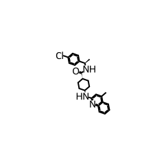 Cc1cc(N[C@H]2CC[C@@H](C(=O)N[C@H](C)c3ccc(Cl)cc3)CC2)nc2ccccc12